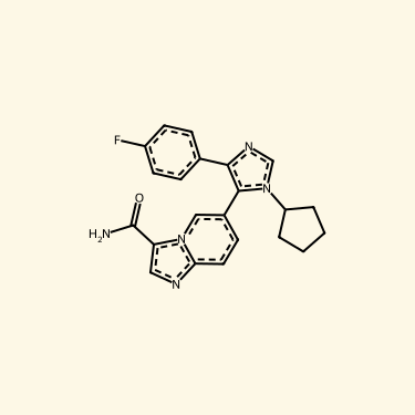 NC(=O)c1cnc2ccc(-c3c(-c4ccc(F)cc4)ncn3C3CCCC3)cn12